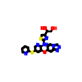 OCC(O)c1csc(Nc2ncc(Sc3ccccn3)cc2Oc2ccn3cnnc3c2)n1